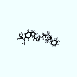 CC(=O)Nc1ccc2c(c1)C(CN(C)CCCN1CCN(C3CCCCC3)C1=O)CC2